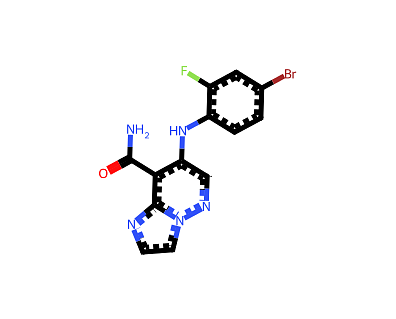 NC(=O)c1c(Nc2ccc(Br)cc2F)[c]nn2ccnc12